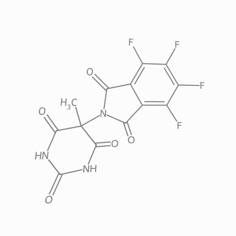 CC1(N2C(=O)c3c(F)c(F)c(F)c(F)c3C2=O)C(=O)NC(=O)NC1=O